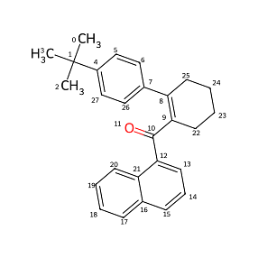 CC(C)(C)c1ccc(C2=C(C(=O)c3cccc4ccccc34)CCCC2)cc1